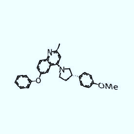 COc1ccc([C@@H]2CCN(c3cc(C)nc4ccc(Oc5ccccc5)cc34)C2)cc1